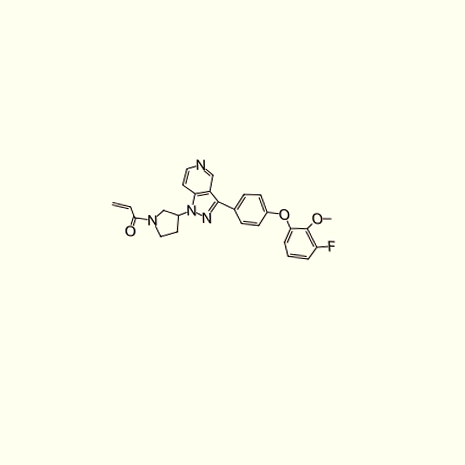 C=CC(=O)N1CCC(n2nc(-c3ccc(Oc4cccc(F)c4OC)cc3)c3cnccc32)C1